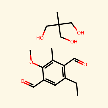 CC(CO)(CO)CO.CCc1cc(C=O)c(OC)c(C)c1C=O